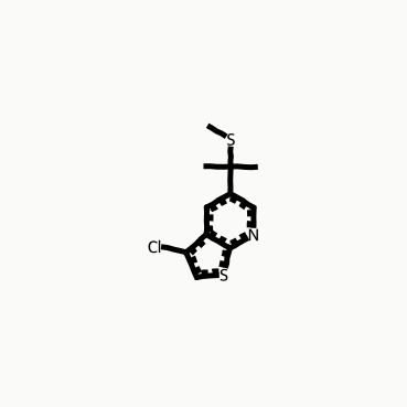 CSC(C)(C)c1cnc2scc(Cl)c2c1